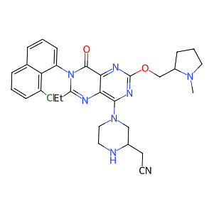 CCc1nc2c(N3CCNC(CC#N)C3)nc(OCC3CCCN3C)nc2c(=O)n1-c1cccc2cccc(Cl)c12